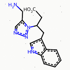 NCc1cnnn1C(CC(=O)O)Cc1c[nH]c2ccccc12